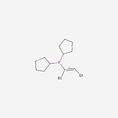 CC/C=C(\CC)P(C1CCCC1)C1CCCC1